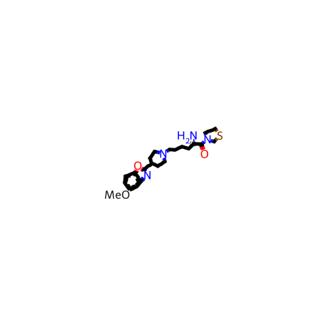 COc1ccc2oc(C3CCN(CCCC[C@H](N)C(=O)N4CCSC4)CC3)nc2c1